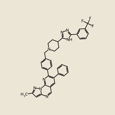 Cc1cc2ncc3cc(-c4ccccc4)c(-c4ccc(CN5CCC(c6nnc(-c7cccc(C(F)(F)F)c7)[nH]6)CC5)cc4)nc3n2n1